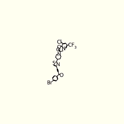 O=C(C#Cc1csc(C2CCN(C(=O)Cn3cc(C(F)(F)F)cc(Cl)c3=O)CC2)n1)c1ccc(Br)cc1